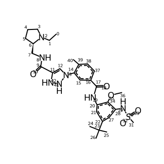 CCN1CCC[C@@H]1CNC(=O)C1=CN(c2cc(C(=O)Nc3cc(C(C)(C)C)cc(NS(C)(=O)=O)c3OC)ccc2C)NN1